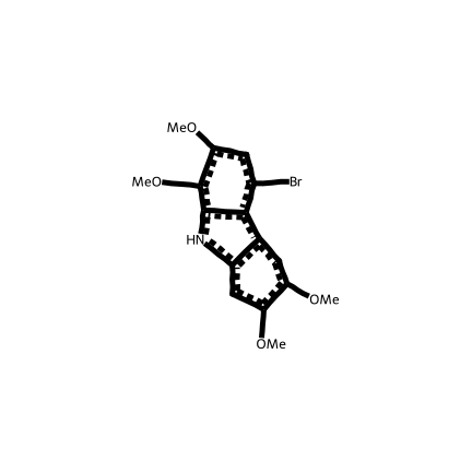 COc1cc2[nH]c3c(OC)c(OC)cc(Br)c3c2cc1OC